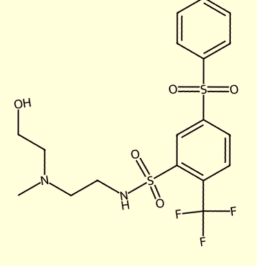 CN(CCO)CCNS(=O)(=O)c1cc(S(=O)(=O)c2ccccc2)ccc1C(F)(F)F